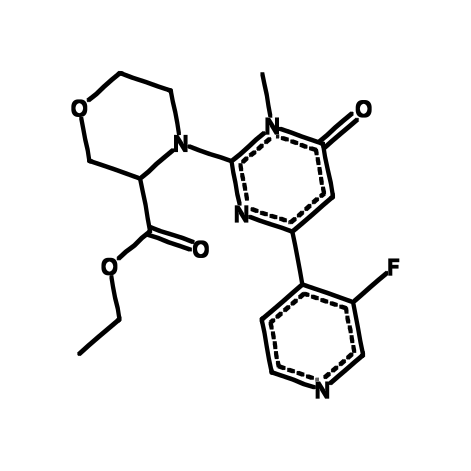 CCOC(=O)C1COCCN1c1nc(-c2ccncc2F)cc(=O)n1C